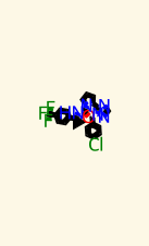 O=C(NC1(c2ccc(C(F)(F)F)cc2)CC1)N1CCCC1c1ncnn1Cc1ccc(Cl)cc1